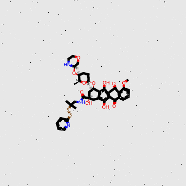 COc1cccc2c1C(=O)c1c(O)c3c(c(O)c1C2=O)C[C@@](O)(C(=O)NCC(C)(C)SSc1ccccn1)C[C@@H]3O[C@H]1CC[C@H](O[C@@H]2COCCN2)[C@H](C)O1